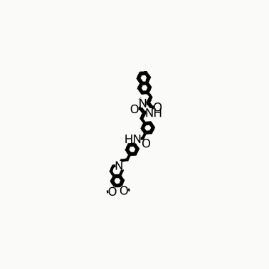 COc1cc2c(cc1OC)CN(CCc1ccc(NC(=O)c3cccc(/C=c4\[nH]c(=O)/c(=C/c5ccc6ccccc6c5)n(C)c4=O)c3)cc1)CC2